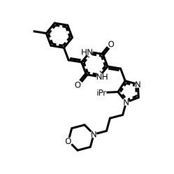 Cc1cccc(/C=c2\[nH]c(=O)/c(=C/c3ncn(CCCN4CCOCC4)c3C(C)C)[nH]c2=O)c1